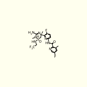 Cc1cc(F)cnc1C(=O)Nc1ccc(F)c([C@]2(C)C[SH](=O)(NCC(F)(F)F)N(C)C(N)=N2)n1